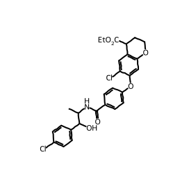 CCOC(=O)C1CCOc2cc(Oc3ccc(C(=O)NC(C)C(O)c4ccc(Cl)cc4)cc3)c(Cl)cc21